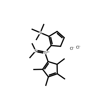 CC1=C(C)C(C)[C]([Ti+2]([C]2=C([Si](C)(C)C)C=CC2)=[Si](C)C)=C1C.[Cl-].[Cl-]